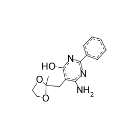 CC1(Cc2c(N)nc(-c3ccccc3)nc2O)OCCO1